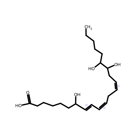 CCCCCC(O)C(O)C/C=C\C/C=C\C=C\C(O)CCCCCC(=O)O